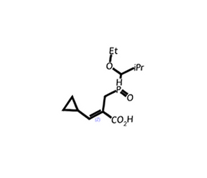 CCOC(C(C)C)[PH](=O)C/C(=C\C1CC1)C(=O)O